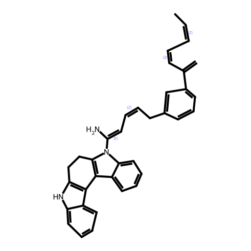 C=C(/C=C\C=C/C)c1cccc(C/C=C\C=C(/N)n2c3c(c4ccccc42)-c2c([nH]c4ccccc24)CC3)c1